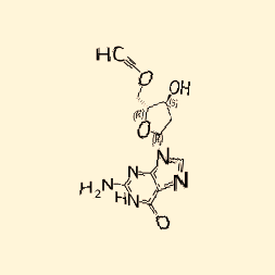 C#COC[C@H]1O[C@@H](n2cnc3c(=O)[nH]c(N)nc32)C[C@@H]1O